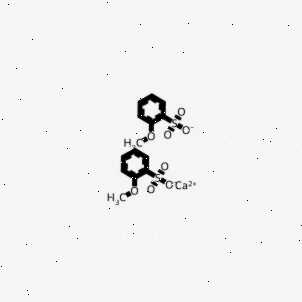 COc1ccccc1S(=O)(=O)[O-].COc1ccccc1S(=O)(=O)[O-].[Ca+2]